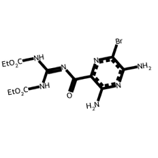 CCOC(=O)NC(=NC(=O)c1nc(Br)c(N)nc1N)NC(=O)OCC